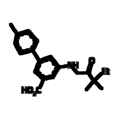 CCC(C)(C)C(=O)CNc1cc(C(=O)O)cc(-c2ccc(C)cc2)c1